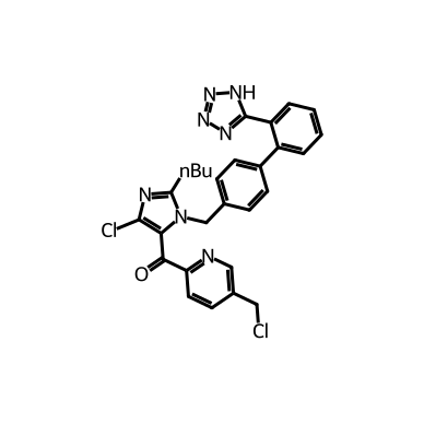 CCCCc1nc(Cl)c(C(=O)c2ccc(CCl)cn2)n1Cc1ccc(-c2ccccc2-c2nnn[nH]2)cc1